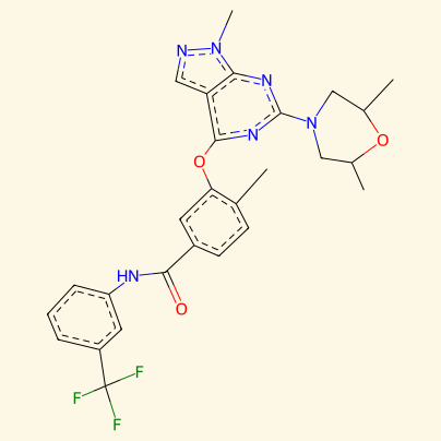 Cc1ccc(C(=O)Nc2cccc(C(F)(F)F)c2)cc1Oc1nc(N2CC(C)OC(C)C2)nc2c1cnn2C